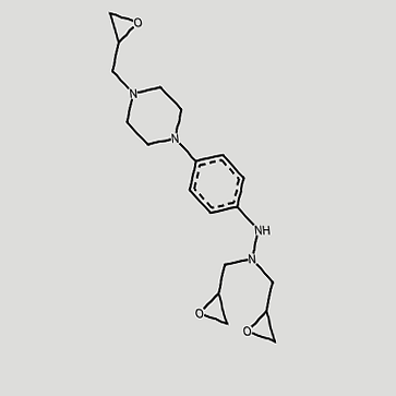 c1cc(N2CCN(CC3CO3)CC2)ccc1NN(CC1CO1)CC1CO1